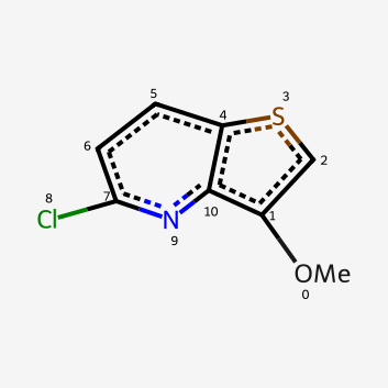 COc1csc2ccc(Cl)nc12